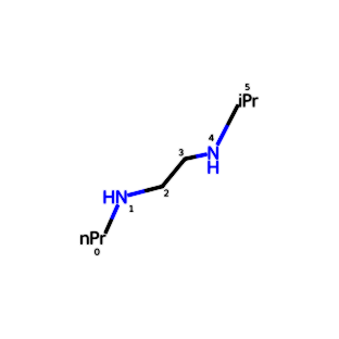 [CH2]CCNCCNC(C)C